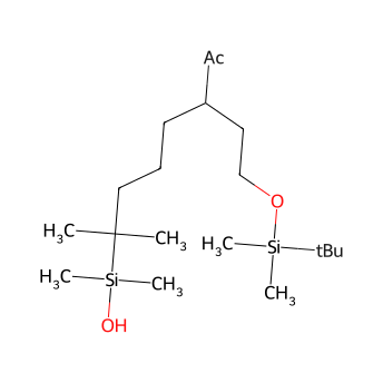 CC(=O)C(CCCC(C)(C)[Si](C)(C)O)CCO[Si](C)(C)C(C)(C)C